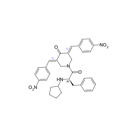 O=C1/C(=C/c2ccc([N+](=O)[O-])cc2)CN(C(=O)[C@@H](Cc2ccccc2)NC2CCCC2)C/C1=C\c1ccc([N+](=O)[O-])cc1